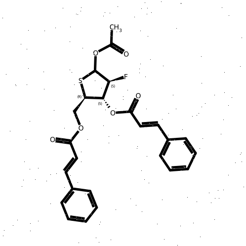 CC(=O)OC1S[C@H](COC(=O)C=Cc2ccccc2)[C@@H](OC(=O)C=Cc2ccccc2)[C@@H]1F